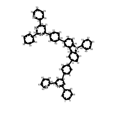 c1ccc(-c2cc(-c3ccc(-c4ccc5c(c4)c4cc(-c6ccc(-c7cc(-c8ccccn8)nc(-c8ccccc8)n7)cc6)ccc4n5-c4ccccc4)cc3)cc(-c3ccccn3)n2)cc1